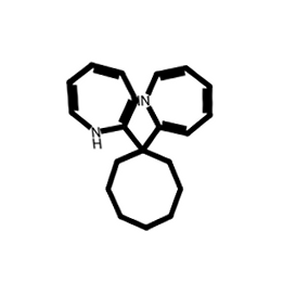 C1=CC=C(C2(C3=CC=CC=CN3)CCCCCCC2)NC=C1